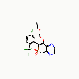 CCOCOC1=C(c2cc(Cl)ccc2C(F)(F)F)S(=O)(=O)Cc2nccnc21